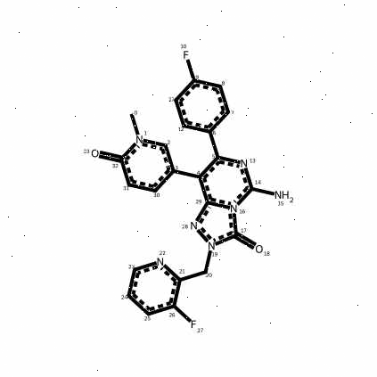 Cn1cc(-c2c(-c3ccc(F)cc3)nc(N)n3c(=O)n(Cc4ncccc4F)nc23)ccc1=O